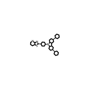 c1ccc(-c2ccc3c(c2)c2cc(-c4ccccc4)ccc2n3-c2ccc(-c3nc4ncccc4s3)cc2)cc1